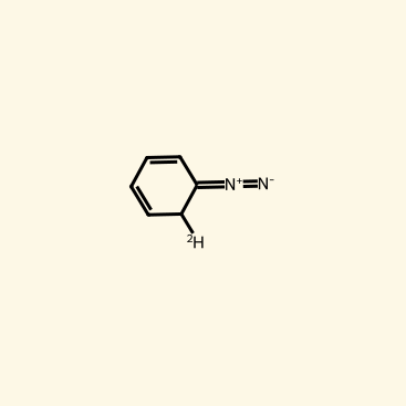 [2H]C1C=CC=CC1=[N+]=[N-]